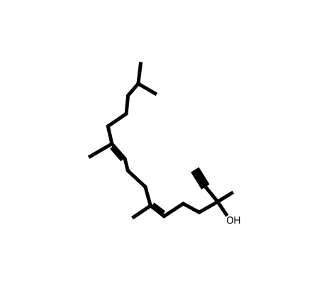 C#CC(C)(O)CC/C=C(/C)CC/C=C(\C)CCCC(C)C